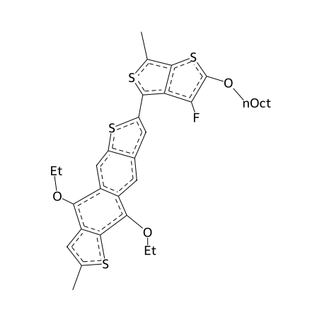 CCCCCCCCOc1sc2c(C)sc(-c3cc4cc5c(OCC)c6sc(C)cc6c(OCC)c5cc4s3)c2c1F